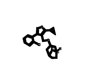 Clc1ccccc1-c1noc(C2CC2)c1COC1CC2CC[C@@H](C1)N2